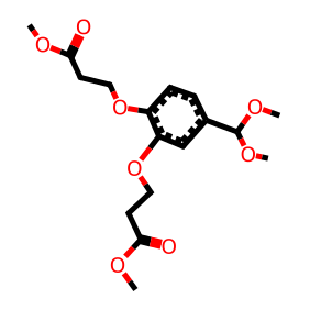 COC(=O)CCOc1ccc(C(OC)OC)cc1OCCC(=O)OC